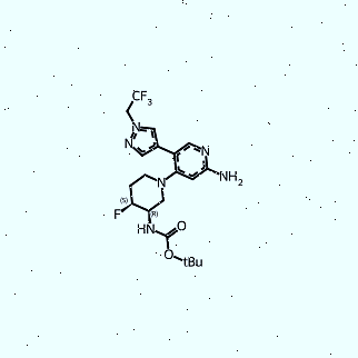 CC(C)(C)OC(=O)N[C@@H]1CN(c2cc(N)ncc2-c2cnn(CC(F)(F)F)c2)CC[C@@H]1F